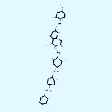 Nc1ccc(C(=O)Nc2ccc3c(O)c(N=Nc4ccc(N=Nc5ccc(N=Nc6ccccc6)cc5)cc4)c(S(=O)(=O)O)cc3c2)cc1